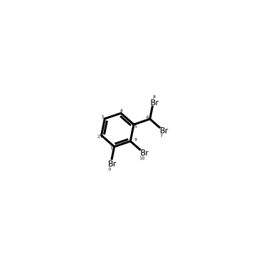 Brc1[c]ccc(C(Br)Br)c1Br